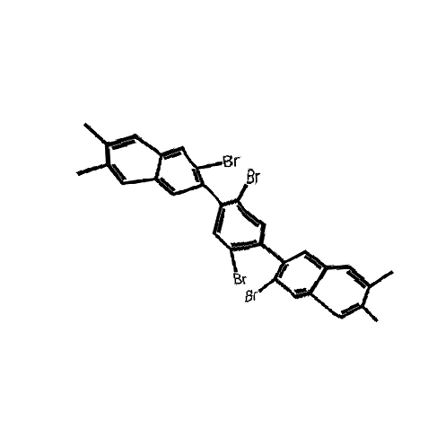 Cc1cc2cc(Br)c(-c3cc(Br)c(-c4cc5cc(C)c(C)cc5cc4Br)cc3Br)cc2cc1C